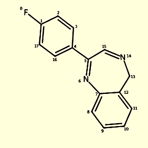 Fc1ccc(C2=Nc3ccccc3CN=C2)cc1